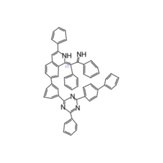 N=C(/C(=C1\NC(c2ccccc2)=Cc2ccc(-c3cccc(-c4nc(-c5ccccc5)nc(-c5ccc(-c6ccccc6)cc5)n4)c3)cc21)c1ccccc1)c1ccccc1